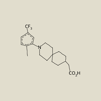 Cc1ccc(C(F)(F)F)cc1N1CCC2(CCC(CC(=O)O)CC2)CC1